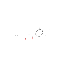 CCOc1c(C)cc(C(=O)CC(=O)OC)cc1C